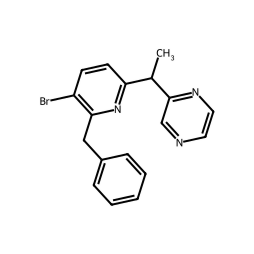 CC(c1cnccn1)c1ccc(Br)c(Cc2ccccc2)n1